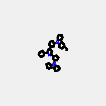 C=Cc1ccc2c(c1)c1ccccc1n2-c1cccc(-c2cc(-c3ccccc3)nc(-c3cccc(-n4c5ccccc5c5ccccc54)c3)c2)c1